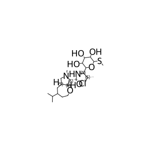 CSC1OC([C@H](NC(=O)[C@@H]2[C@@H]3OCCC(C(C)C)C[C@H]3CN2C)[C@H](C)Cl)C(O)C(O)C1O